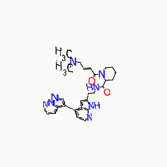 CN(C)CC=CC(=O)N1CCCCC1C(=O)NCCc1cc2c(-c3cnn4ncccc34)ccnc2[nH]1